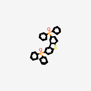 O=P(C1=CC2c3cc(P(=O)(c4cc#ccc4)c4ccccc4)ccc3SC2C=C1)(c1ccccc1)c1ccccc1